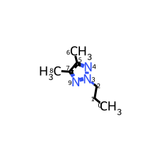 CCCn1nc(C)c(C)n1